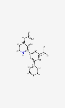 Cc1ccc2c(-c3cc(-c4ccccc4)cc(C(C)C)c3)nccc2c1